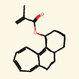 C=C(C)C(=O)OC1CCCC2CCC3=CC=CC=CC3=C21